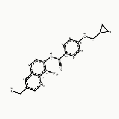 O=C(Nc1ccc2cc(CO)cnc2c1F)c1ccc(OCC2CC2)cc1